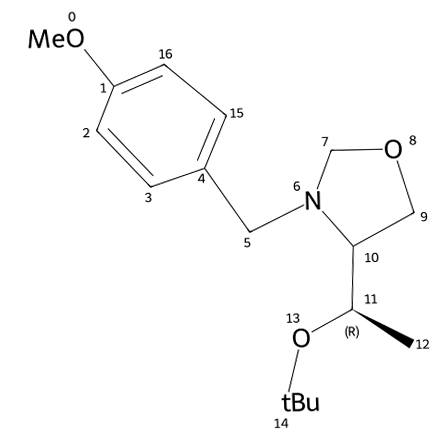 COc1ccc(CN2COCC2[C@@H](C)OC(C)(C)C)cc1